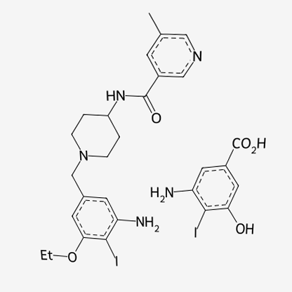 CCOc1cc(CN2CCC(NC(=O)c3cncc(C)c3)CC2)cc(N)c1I.Nc1cc(C(=O)O)cc(O)c1I